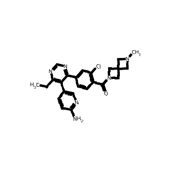 CCc1ncnc(-c2ccc(C(=O)N3CC4(CN(C)C4)C3)c(Cl)c2)c1-c1ccc(N)nc1